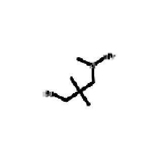 CCCN(C)CC(C)(C)CC(C)CC